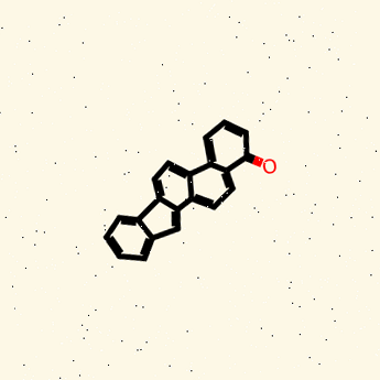 O=C1C=CC=c2c1ccc1c3c(ccc21)-c1ccccc1C=3